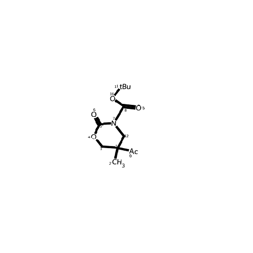 CC(=O)C1(C)COC(=O)N(C(=O)OC(C)(C)C)C1